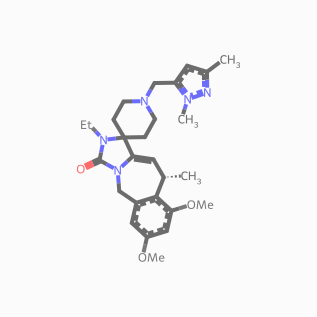 CCN1C(=O)N2Cc3cc(OC)cc(OC)c3[C@@H](C)C=C2C12CCN(Cc1cc(C)nn1C)CC2